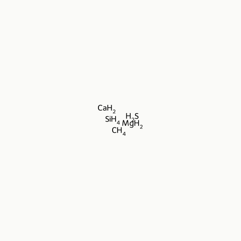 C.S.[CaH2].[MgH2].[SiH4]